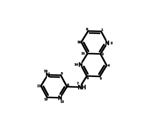 c1cnc2ccc(Nc3cnccn3)nc2c1